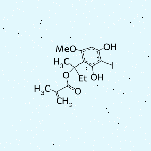 C=C(C)C(=O)OC(C)(CC)c1c(OC)cc(O)c(I)c1O